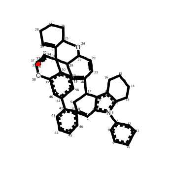 C1=Cc2c(c3c(n2-c2ccccc2)CCCC3)C(C2=CC3C(C=C2)OC2CCCC=C2C32c3ccccc3Oc3cc(-c4ccccc4)ccc32)C1